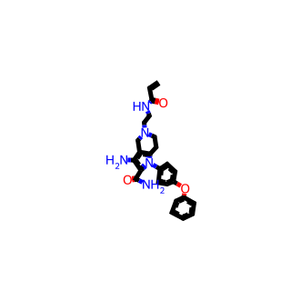 C=CC(=O)NCCN1CCc2c(c(N)c(C(N)=O)n2-c2ccc(Oc3ccccc3)cc2)C1